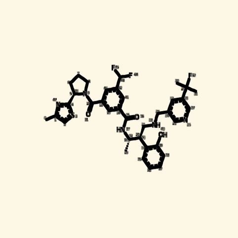 Cc1csc([C@H]2CCCN2C(=O)c2cc(C(=O)N[C@@H](C)[C@@H](CNCc3cncc(C(C)(C)F)c3)c3ccccc3O)cc(C(F)F)c2)n1